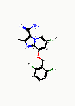 Cc1nc2c(OCc3c(F)cccc3F)cc(Cl)cn2c1C(=N)N